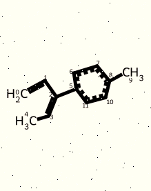 C=CC(=CC)c1ccc(C)cc1